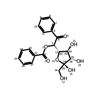 O=C(OC(C(=O)c1ccccc1)[C@H]1O[C@@](O)(CO)[C@@H](O)[C@@H]1O)c1ccccc1